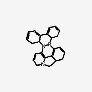 C1=CCC2B3C4=C5C6=C(C=CCN6CC5CC=C4)N3C3CC=CC=C3C2=C1